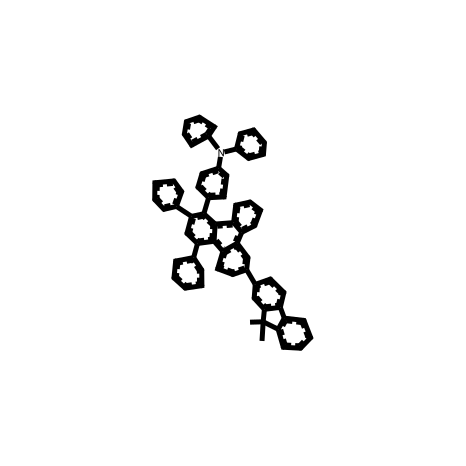 CC1(C)c2ccccc2-c2ccc(-c3ccc4c(c3)c3ccccc3c3c(-c5ccc(N(c6ccccc6)c6ccccc6)cc5)c(-c5ccccc5)cc(-c5ccccc5)c43)cc21